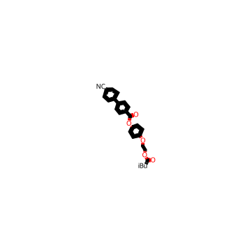 CCC(C)C(=O)OCCOc1ccc(OC(=O)c2ccc(-c3ccc(C#N)cc3)cc2)cc1